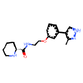 Cc1n[nH]cc1-c1c[c]cc(OCCNC(=O)[C@H]2CCCCN2)c1